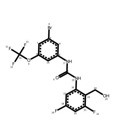 O=C(Nc1cc(Br)cc(OC(F)(F)F)c1)Nc1cc(F)cc(F)c1CO